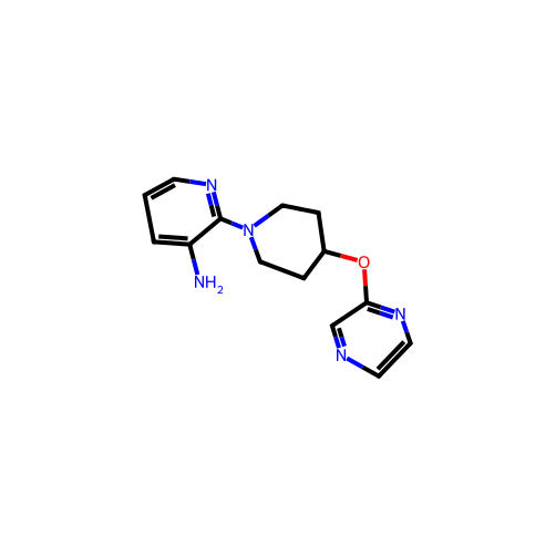 Nc1cccnc1N1CCC(Oc2cnccn2)CC1